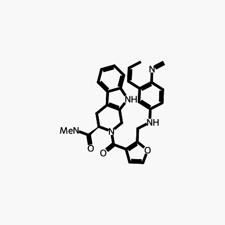 C=Nc1ccc(NCc2occc2C(=O)N2Cc3[nH]c4ccccc4c3C[C@@H]2C(=O)NC)cc1/C=C\C